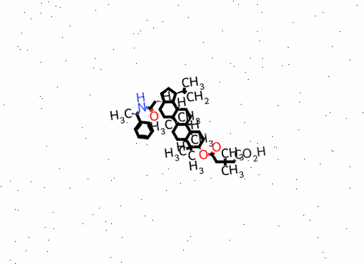 C=C(C)[C@@H]1CC[C@]2(CC(=O)N[C@@H](C)c3ccccc3)CC[C@]3(C)[C@H](CC[C@@H]4[C@@]5(C)CC[C@H](OC(=O)CC(C)(C)CC(=O)O)C(C)(C)[C@@H]5CC[C@]43C)[C@@H]12